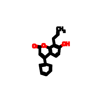 C=CCc1c(O)ccc2c(-c3ccccc3)cc(=O)oc12